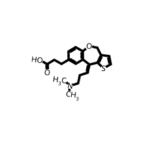 CN(C)CC/C=C1\c2cc(CCC(=O)O)ccc2OCc2ccsc21